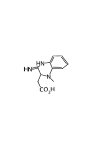 CN1c2ccccc2NC(=N)C1CC(=O)O